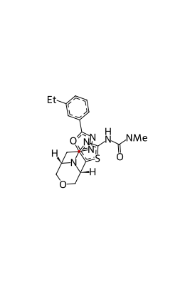 CCc1cccc(-c2nnc(N3[C@@H]4COC[C@H]3c3sc(NC(=O)NC)nc3C4)o2)c1